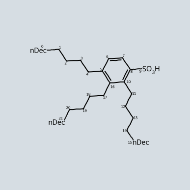 CCCCCCCCCCCCCCc1ccc(S(=O)(=O)O)c(CCCCCCCCCCCCCC)c1CCCCCCCCCCCCCC